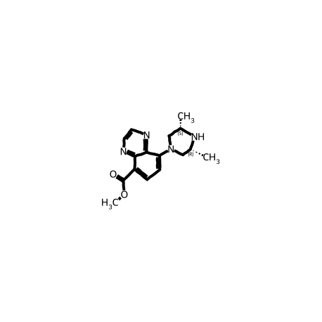 COC(=O)c1ccc(N2C[C@@H](C)N[C@@H](C)C2)c2nccnc12